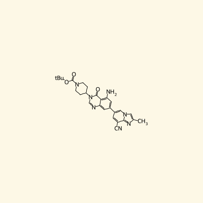 Cc1cn2cc(-c3cc(N)c4c(=O)n(C5CCN(C(=O)OC(C)(C)C)CC5)cnc4c3)cc(C#N)c2n1